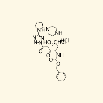 Cl.Cl.O=C(O)CC(NC(=O)OCc1ccccc1)C(=O)CC(=O)n1nnc(N2CCC[C@@H]2N2CCNCC2)n1